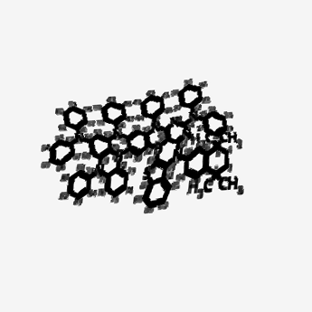 CC1(C)CCC(C)(C)c2cc(N3c4nc(N(c5ccccc5)c5ccccc5)nc5c4B(c4cc6c(cc4N5c4ccccc4)N(c4ccccc4)c4cc(N(c5ccccc5)c5ccccc5)cc5c4B6c4ccccc4N5c4ccccc4)c4sc5ccccc5c43)ccc21